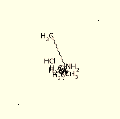 CCCCCCCCCCCCCCCCCC(N)C(CC)[Si](OC)(OC)OC.Cl